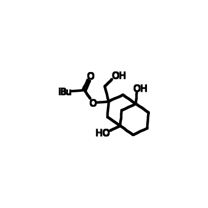 CCC(C)C(=O)OC1(CO)CC2(O)CCCC(O)(C2)C1